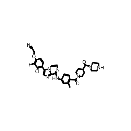 Cc1cc(Nc2nccn3c(-c4ccc(OCC#N)c(F)c4Cl)cnc23)ccc1C(=O)N1CCC(C(=O)N2CCNCC2)CC1